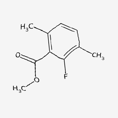 COC(=O)c1c(C)ccc(C)c1F